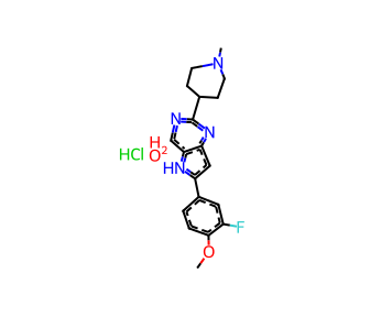 COc1ccc(-c2cc3nc(C4CCN(C)CC4)ncc3[nH]2)cc1F.Cl.O